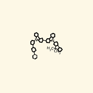 CC1(C)c2ccccc2-c2ccc(-n3c4ccccc4c4cc(-c5ccc6c(c5)c5ccccc5n6-c5cccc(-c6ccc(C7C=CC=CC7)cc6)c5)ccc43)cc21